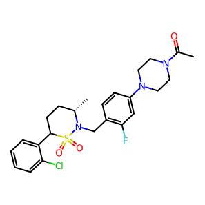 CC(=O)N1CCN(c2ccc(CN3[C@@H](C)CCC(c4ccccc4Cl)S3(=O)=O)c(F)c2)CC1